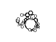 CN(C(=O)O[C@H]1C=CCOC(C)(C)C(=O)NS(=O)(=O)c2ccc3c(c2)N(C[C@@H]2CC[C@H]21)C[C@@]1(CCCc2cc(Cl)ccc21)CO3)[C@H]1CCOC1